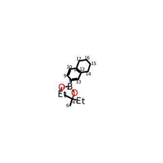 CCOB(OC(C)(C)CC)c1ccc2c(c1)CCCC2